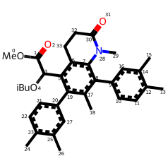 COC(=O)C(OCC(C)C)c1c2c(c(-c3ccc(C)c(C)c3)c(C)c1-c1ccc(C)c(C)c1)N(C)C(=O)CC2